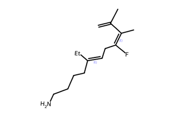 C=C(C)/C(C)=C(/F)C/C=C(\CC)CCCCN